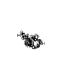 [2H]C1([2H])N(CC2CCN(Cc3ccc(Nc4ncc(F)c(-c5cc(F)c6nc(C)n(C(C)C)c6c5)n4)nc3)CC2)C([2H])([2H])C([2H])([2H])N(c2c(F)cc3c(c2F)C(=O)N(C2CCC(=O)NC2=O)C3=O)C1([2H])[2H]